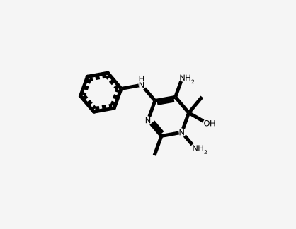 CC1=NC(Nc2ccccc2)=C(N)C(C)(O)N1N